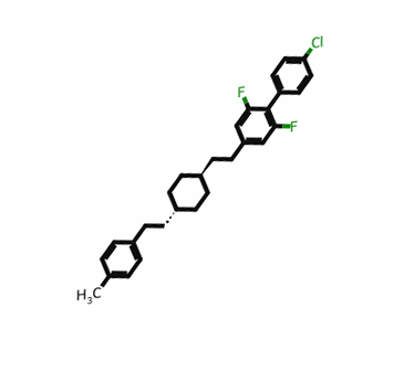 Cc1ccc(CC[C@H]2CC[C@H](CCc3cc(F)c(-c4ccc(Cl)cc4)c(F)c3)CC2)cc1